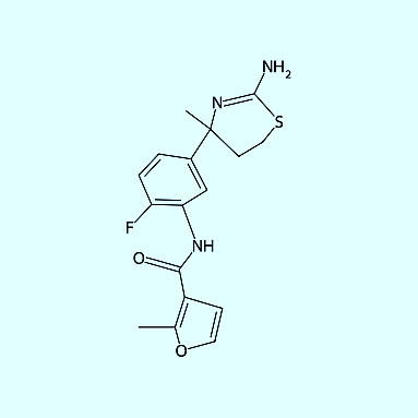 Cc1occc1C(=O)Nc1cc(C2(C)CCSC(N)=N2)ccc1F